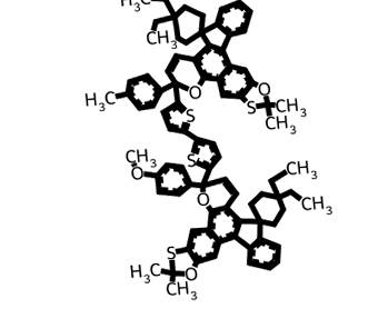 CCC1(CC)CCC2(CC1)c1ccccc1-c1c2c2c(c3cc4c(cc13)OC(C)(C)S4)OC(c1ccc(C)cc1)(c1ccc(-c3ccc(C4(c5ccc(OC)cc5)C=Cc5c6c(c7cc8c(cc7c5O4)SC(C)(C)O8)-c4ccccc4C64CCC(CC)(CC)CC4)s3)s1)C=C2